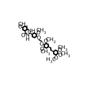 COc1ccc2c(c1)C(=O)NC(c1ccc(OCCOc3c(OC)cc(C=Cc4cc(OC)c(OC)c(OC)c4)cc3OC)c(OC)c1)N2